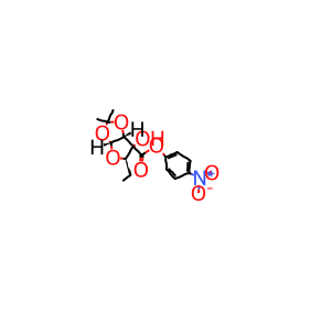 CC[C@H]1O[C@@H]2OC(C)(C)O[C@@H]2[C@]1(O)C(=O)Oc1ccc([N+](=O)[O-])cc1